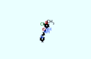 COc1ccc(NC(=O)NCCCN2CCCCC2)cc1Cl